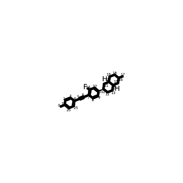 Cc1ccc(C#Cc2ccc([C@@H]3CC[C@@H]4CC(C)CC[C@@H]4C3)cc2F)cc1